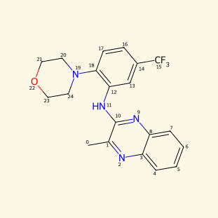 Cc1nc2ccccc2nc1Nc1cc(C(F)(F)F)ccc1N1CCOCC1